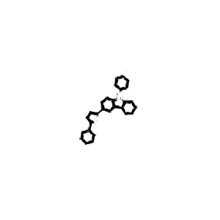 c1ccc(-c2ccc(-c3ccc4c(c3)c3ccccc3n4-c3ccccc3)s2)cc1